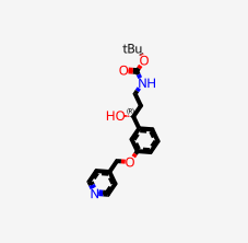 CC(C)(C)OC(=O)NCC[C@@H](O)c1cccc(OCc2ccncc2)c1